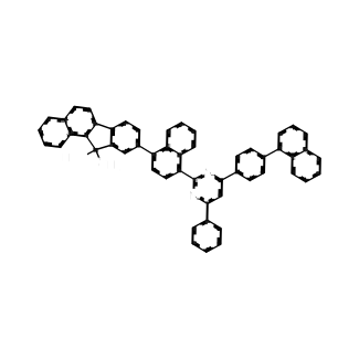 CC1(C)c2cc(-c3ccc(-c4nc(-c5ccccc5)cc(-c5ccc(-c6cccc7ccccc67)cc5)n4)c4ccccc34)ccc2-c2ccc3ccccc3c21